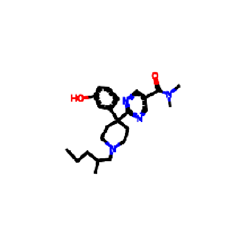 CCCC(C)CN1CCC(c2cccc(O)c2)(c2ncc(C(=O)N(C)C)cn2)CC1